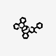 Cc1cc2[n+](cc1-c1ccccc1)C1=CC(c3ccccc3-2)C2C1c1ccccc1-c1cccc[n+]12